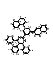 c1ccc(-c2nc(-c3cc(-c4ccc5ccccc5c4)cc(-c4cccc5ccccc45)c3)nc(-c3ccccc3)c2-c2ccccc2)cc1